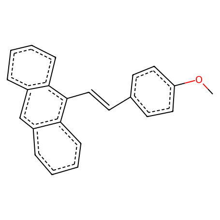 COc1ccc(C=Cc2c3ccccc3cc3ccccc23)cc1